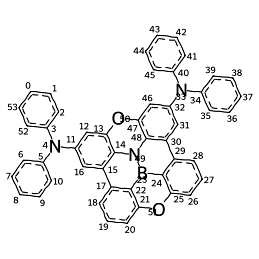 c1ccc(N(c2ccccc2)c2cc3c4c(c2)-c2cccc5c2B2c6c(cccc6-c6cc(N(c7ccccc7)c7ccccc7)cc(c6N24)O3)O5)cc1